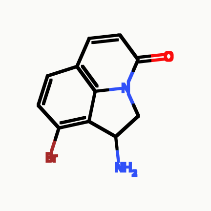 NC1Cn2c(=O)ccc3ccc(Br)c1c32